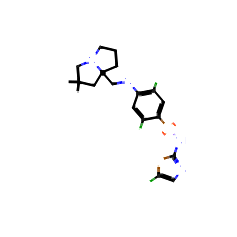 CC1(C)CN2CCCC2(CNc2cc(F)c(S(=O)(=O)Nc3ncc(F)s3)cc2Cl)C1